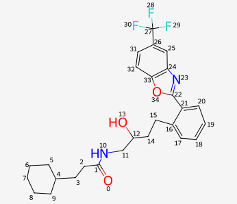 O=C(CCC1CCCCC1)NCC(O)CCc1ccccc1-c1nc2cc(C(F)(F)F)ccc2o1